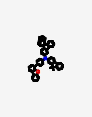 CC1(C)c2ccccc2-c2ccc(N(c3ccc(-c4cccc5c4oc4ccccc45)cc3)c3ccc4c(c3)-c3ccccc3C43C4CC5CC(C4)CC3C5)cc21